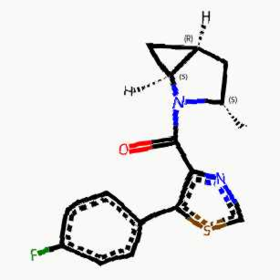 [CH2][C@H]1C[C@@H]2C[C@@H]2N1C(=O)c1ncsc1-c1ccc(F)cc1